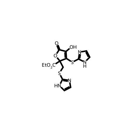 CCOC(=O)C1(CSc2ncc[nH]2)OC(=O)C(O)=C1Sc1ncc[nH]1